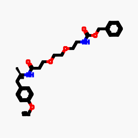 C[C@@H](Cc1ccc(OC(C)(C)C)cc1)NC(=O)CCOCCOCCNC(=O)OCc1ccccc1